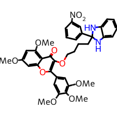 COc1cc(OC)c2c(=O)c(OCCCCC3(c4cccc([N+](=O)[O-])c4)Nc4ccccc4N3)c(-c3cc(OC)c(OC)c(OC)c3)oc2c1